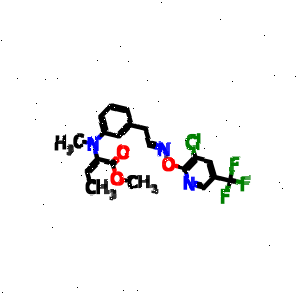 CC=C(C(=O)OC)N(C)c1cccc(CC=NOc2ncc(C(F)(F)F)cc2Cl)c1